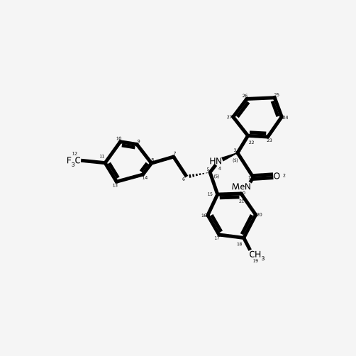 CNC(=O)[C@@H](N[C@@H](CCc1ccc(C(F)(F)F)cc1)c1ccc(C)cc1)c1ccccc1